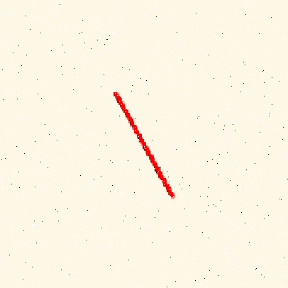 CCCCCCCCCCCCCCCCCCCCCCCCCCCCCCCCCCCCCCCCCCCCCCCCCCCCCCCCCCCCCCCCCCCCCCCCCCCCCCCCCCCCCCCCCCCCCCCCCCCCCCC